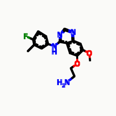 COc1cc2ncnc(Nc3ccc(F)c(C)c3)c2cc1OCCN